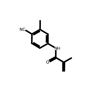 C=C(C)C(=O)Nc1ccc(C#N)c(C)c1